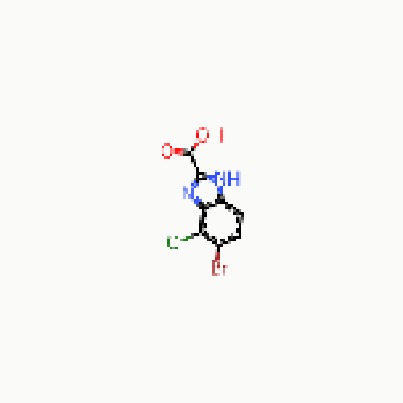 O=C(O)c1nc2c(Cl)c(Br)ccc2[nH]1